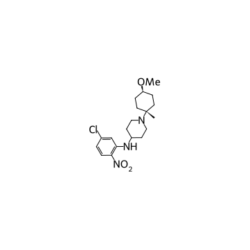 CO[C@H]1CC[C@](C)(N2CCC(Nc3cc(Cl)ccc3[N+](=O)[O-])CC2)CC1